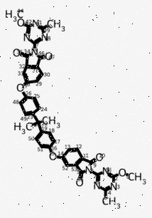 COc1nc(C)nc(N2C(=O)c3ccc(Oc4ccc(C(C)(C)c5ccc(Oc6ccc7c(c6)C(=O)N(c6nc(C)nc(OC)n6)C7=O)cc5)cc4)cc3C2=O)n1